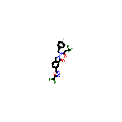 O=C(CC(F)(F)F)N(Cc1ccc(F)cc1)N1Cc2ccc(-c3nnc(C(F)F)o3)cc2C1=O